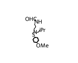 COc1ccc(SN(CCCNC=O)CC(C)C)cc1